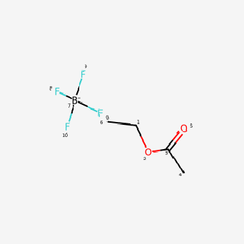 CCOC(C)=O.F[B-](F)(F)F